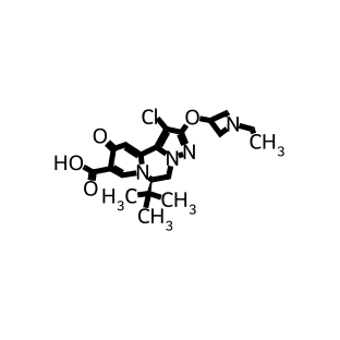 CCN1CC(Oc2nn3c(c2Cl)-c2cc(=O)c(C(=O)O)cn2[C@H](C(C)(C)C)C3)C1